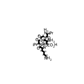 CC(C)[C@H](N)C(=O)N(CC(=O)OC(=O)[C@@H](NC(=O)[C@@H](N)CCCCN)C(C)C)C(=O)[C@@H](N)CC(=O)O